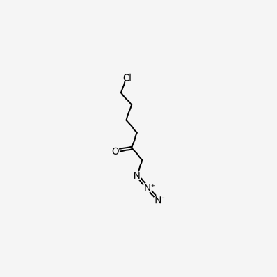 [N-]=[N+]=NCC(=O)CCCCCl